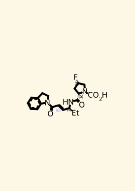 CC[C@@H](/C=C/C(=O)N1CCc2ccccc21)NC(=O)[C@@H]1C[C@H](F)CN1C(=O)O